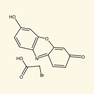 O=C(O)CBr.O=c1ccc2nc3ccc(O)cc3oc-2c1